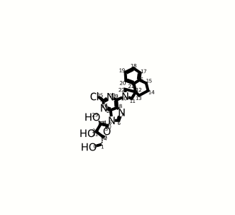 OC[C@H]1O[C@@H](n2cnc3c(N4CC5(CCCc6ccccc65)C4)nc(Cl)nc32)[C@@H](O)C1O